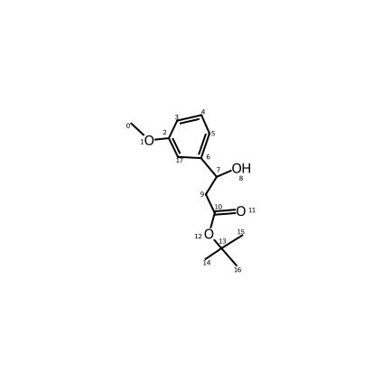 COc1cccc(C(O)CC(=O)OC(C)(C)C)c1